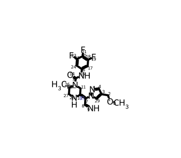 COCc1cnn(/C(C=N)=C2\CN(C(=O)Nc3cc(F)c(F)c(F)c3)[C@@H](C)CN2)c1